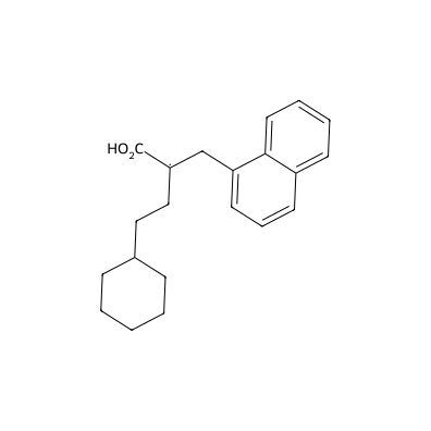 O=C(O)[C](CCC1CCCCC1)Cc1cccc2ccccc12